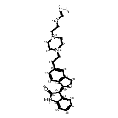 CCOCCN1CCN(CCc2ccc3c(c2)COC3=C2C(=O)Nc3ccccc32)CC1